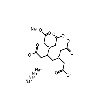 O=C([O-])CC(CN(CC(=O)[O-])CC(=O)[O-])N(CC(=O)[O-])CC(=O)[O-].[Na+].[Na+].[Na+].[Na+].[Na+]